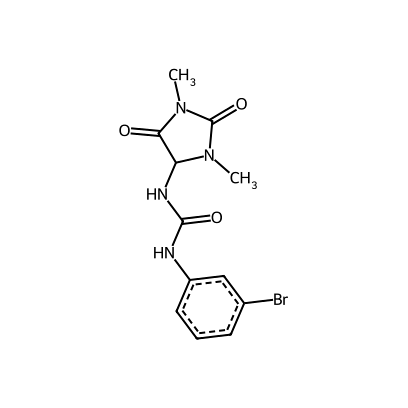 CN1C(=O)C(NC(=O)Nc2cccc(Br)c2)N(C)C1=O